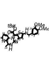 COc1ccc(CNc2cc3nc(NC(C)c4ccccn4)nc(C(=O)OC(C)(C)C)c3s2)cc1OC